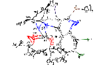 CSc1nc2c(F)c(Br)c(C)cc2c(N(C(=O)OC(C)(C)C)C2[C@@H]3C[C@H]2N(C(=O)OC(C)(C)C)C3)c1I